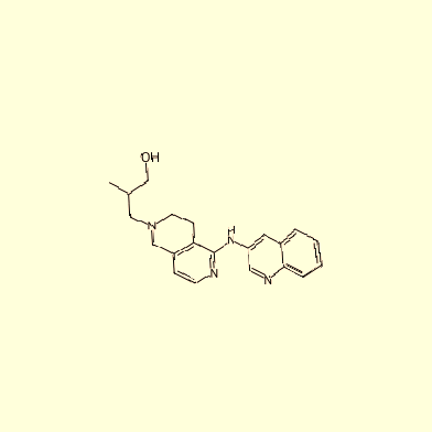 CC(CO)CN1CCc2c(ccnc2Nc2cnc3ccccc3c2)C1